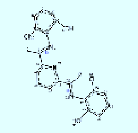 C/C(=N\c1c(O)cccc1Cl)c1cccc(/C(C)=N/c2c(O)cccc2Cl)n1